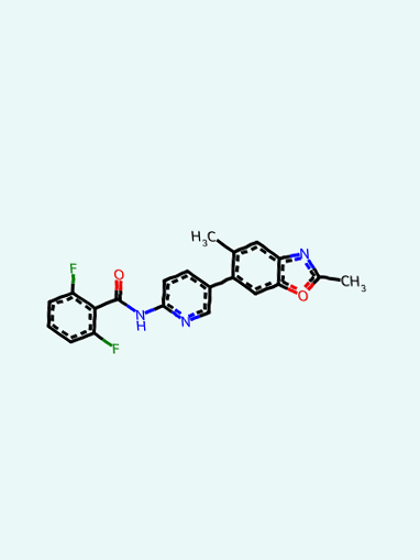 Cc1nc2cc(C)c(-c3ccc(NC(=O)c4c(F)cccc4F)nc3)cc2o1